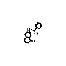 O=C(Nc1ccc2c(c1)C(=O)CCC2)c1ccccc1